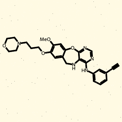 C#Cc1cccc(Nc2ncnc3c2NCc2cc(OCCCN4CCOCC4)c(OC)cc2O3)c1